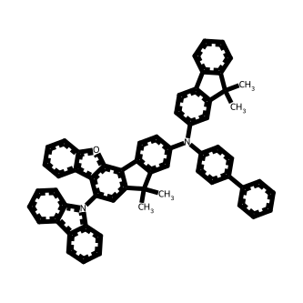 CC1(C)c2ccccc2-c2ccc(N(c3ccc(-c4ccccc4)cc3)c3ccc4c(c3)C(C)(C)c3cc(-n5c6ccccc6c6ccccc65)c5c(oc6ccccc65)c3-4)cc21